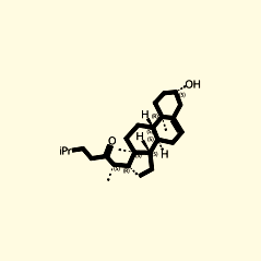 CC(C)CCC(=O)[C@@H](C)[C@H]1CC[C@H]2[C@@H]3CC=C4C[C@@H](O)CC[C@]4(C)[C@H]3CC[C@]12C